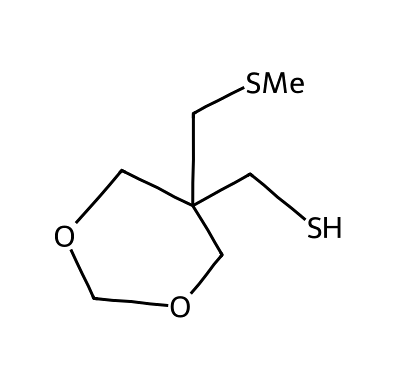 CSCC1(CS)COCOC1